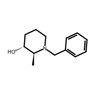 C[C@H]1[C@H](O)CCCN1Cc1ccccc1